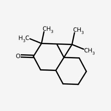 CC1(C)C(=O)CC2CCCCC23C1C3(C)C